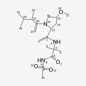 C=C(NC(C)(C)C(=O)NS(C)(=O)=O)C1CC(OC)CN1C(=C)C(C)C(C)C